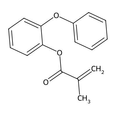 C=C(C)C(=O)Oc1ccccc1Oc1ccccc1